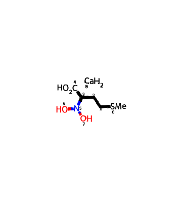 CSCCC(C(=O)O)N(O)O.[CaH2]